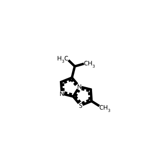 Cc1cn2c(C(C)C)cnc2s1